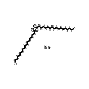 CCCCC=CC=CC=CCCCCCCCC(=O)OC(=O)CCCCCCCC=CC=CC=CCCCC.[Na]